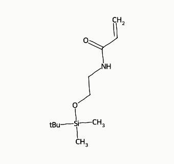 C=CC(=O)NCCO[Si](C)(C)C(C)(C)C